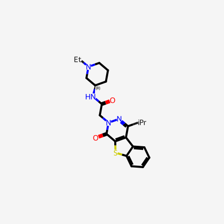 CCN1CCC[C@@H](NC(=O)Cn2nc(C(C)C)c3c(sc4ccccc43)c2=O)C1